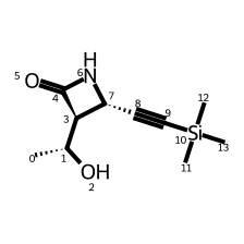 C[C@@H](O)[C@H]1C(=O)N[C@@H]1C#C[Si](C)(C)C